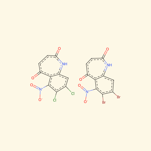 O=c1ccc(=O)c2c([N+](=O)[O-])c(Br)c(Br)cc2[nH]1.O=c1ccc(=O)c2c([N+](=O)[O-])c(Cl)c(Cl)cc2[nH]1